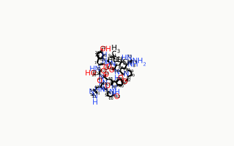 CC(C)C[C@H](NC(=O)[C@@H](CC(C)C)NC(=O)[C@H](Cc1ccc(O)cc1)NC(=O)[C@@H](CO)NC(=O)[C@H](Cc1c[nH]c2ccccc12)NC(=O)[C@H](Cc1c[nH]cn1)NC(=O)[C@@H]1CCC(=O)N1)C(=O)N[C@@H](CCCNC(=N)N)C(=O)N1CCC[C@H]1[C]=O